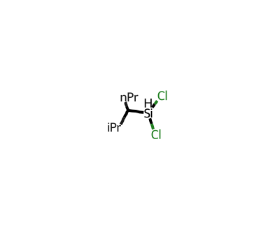 CCCC(C(C)C)[SiH](Cl)Cl